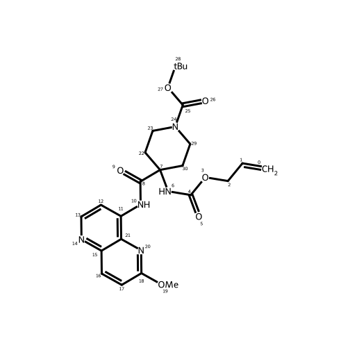 C=CCOC(=O)NC1(C(=O)Nc2ccnc3ccc(OC)nc23)CCN(C(=O)OC(C)(C)C)CC1